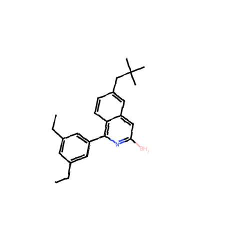 Bc1cc2cc(CC(C)(C)C)ccc2c(-c2cc(CC)cc(CC)c2)n1